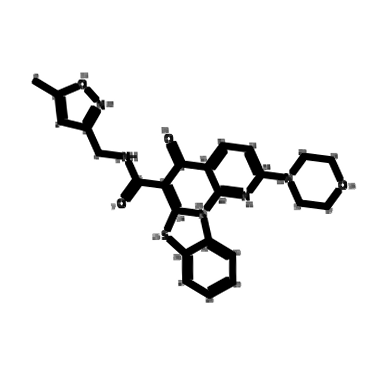 Cc1cc(CNC(=O)c2c(=O)c3ccc(N4CCOCC4)nc3n3c2sc2ccccc23)no1